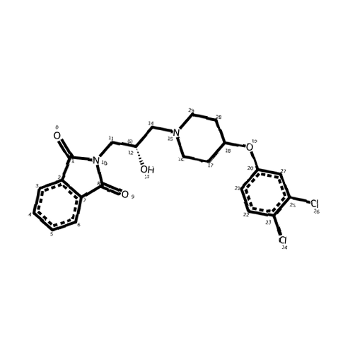 O=C1c2ccccc2C(=O)N1C[C@@H](O)CN1CCC(Oc2ccc(Cl)c(Cl)c2)CC1